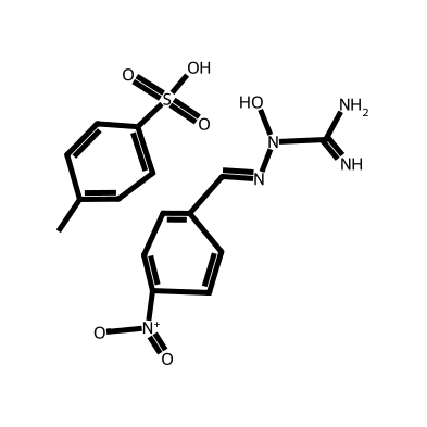 Cc1ccc(S(=O)(=O)O)cc1.N=C(N)N(O)/N=C/c1ccc([N+](=O)[O-])cc1